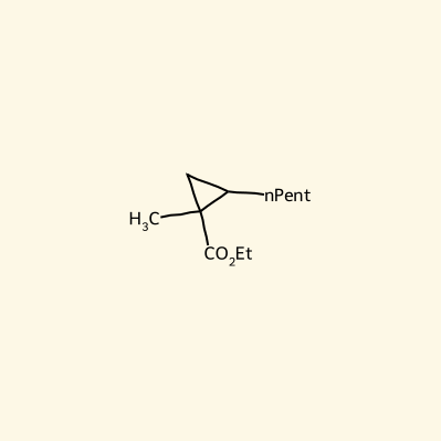 CCCCCC1CC1(C)C(=O)OCC